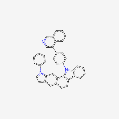 c1ccc(-n2ccc3cc4ccc5c6ccccc6n(-c6ccc(-c7cncc8ccccc78)cc6)c5c4cc32)cc1